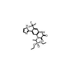 CCOP(=O)(OCC)C(C)n1c(=O)c(=O)[nH]c2cc(C(F)(F)F)c(-c3ncc[nH]3)cc21